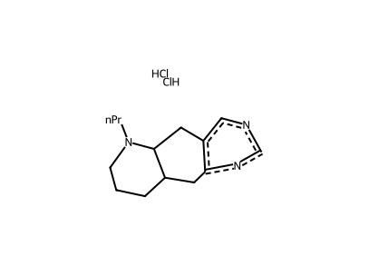 CCCN1CCCC2Cc3ncncc3CC21.Cl.Cl